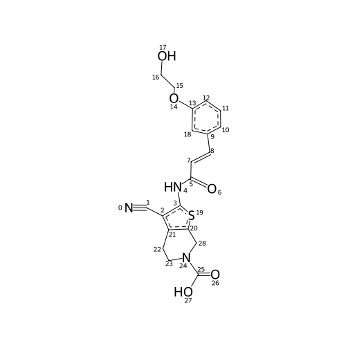 N#Cc1c(NC(=O)C=Cc2cccc(OCCO)c2)sc2c1CCN(C(=O)O)C2